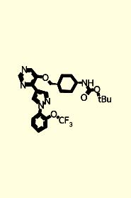 CC(C)(C)OC(=O)N[C@H]1CC[C@@H](COc2cncnc2-c2cnn(-c3ccccc3OC(F)(F)F)c2)CC1